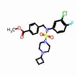 COC(=O)c1ccc(CN(c2ccc(F)c(Cl)c2)S(=O)(=O)N2CCN(C3CCC3)CC2)cc1